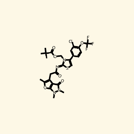 Cc1oc2c(c1CC(=O)/N=c1\scc(-c3ccc(OC(F)(F)F)c(Cl)c3)n1COC(=O)C(C)(C)C)c(=O)n(C)n2C